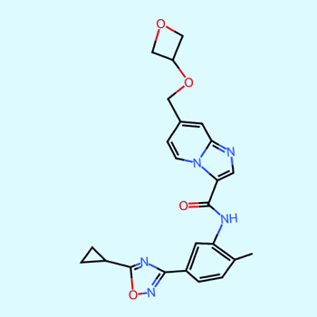 Cc1ccc(-c2noc(C3CC3)n2)cc1NC(=O)c1cnc2cc(COC3COC3)ccn12